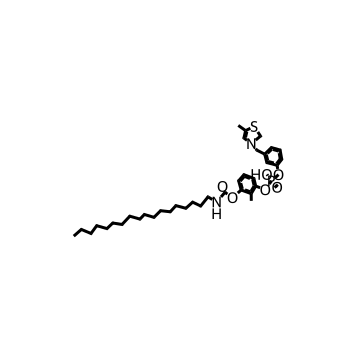 CCCCCCCCCCCCCCCCCCNC(=O)Oc1cccc(OP(=O)(O)Oc2cccc(CN3C=C(C)SC3)c2)c1C